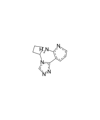 Nc1ncccc1-c1nncn1C1CCC1